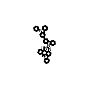 CC1(C)C2=C(c3ccccc3)C=CC3=NC(n4c5ccccc5c5cc(-c6ccc7c(c6)c6ccccc6n7-c6ccccc6)ccc54)NC(c4ccccc41)C32